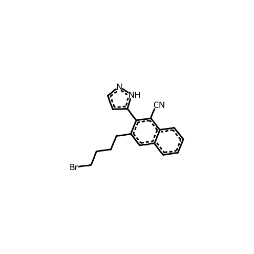 N#Cc1c(-c2ccn[nH]2)c(CCCCBr)cc2ccccc12